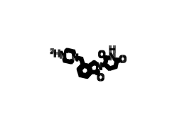 [2H]N1CCN(Cc2cccc3c2CN(C2CCC(=O)NC2=O)C3=O)CC1